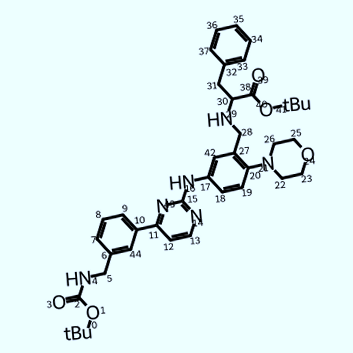 CC(C)(C)OC(=O)NCc1cccc(-c2ccnc(Nc3ccc(N4CCOCC4)c(CNC(Cc4ccccc4)C(=O)OC(C)(C)C)c3)n2)c1